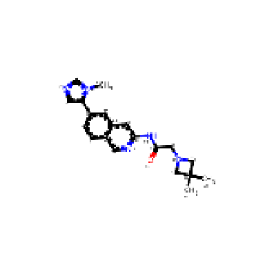 Cn1cncc1-c1ccc2cnc(NC(=O)CN3CC(C)(C)C3)cc2c1